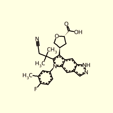 Cc1cc(-n2c(C(C)(C)CC#N)c([C@H]3CO[C@H](C(=O)O)C3)c3cc4[nH]ncc4cc32)ccc1F